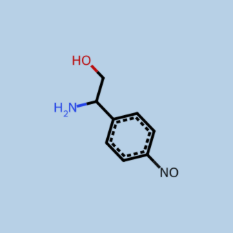 NC(CO)c1ccc(N=O)cc1